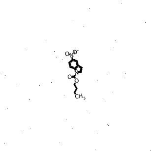 CCCCOC(=O)n1ccc2cc([N+](=O)[O-])ccc21